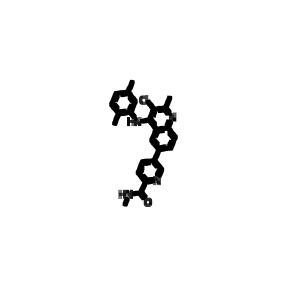 CNC(=O)c1ccc(-c2ccc3nc(C)c(Cl)c(Nc4cc(C)ccc4C)c3c2)cn1